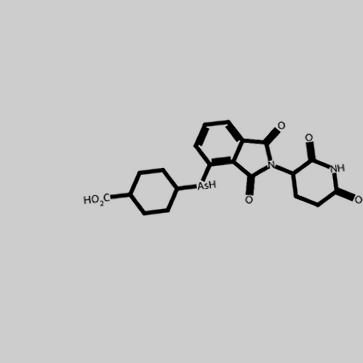 O=C1CCC(N2C(=O)c3cccc([AsH]C4CCC(C(=O)O)CC4)c3C2=O)C(=O)N1